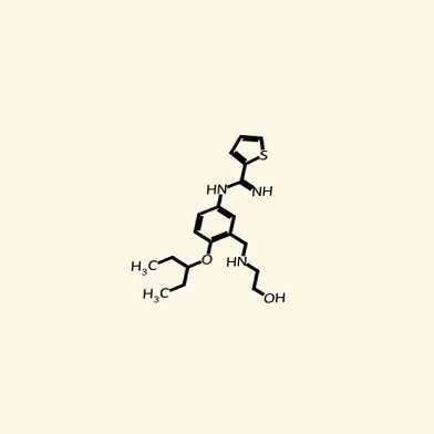 CCC(CC)Oc1ccc(NC(=N)c2cccs2)cc1CNCCO